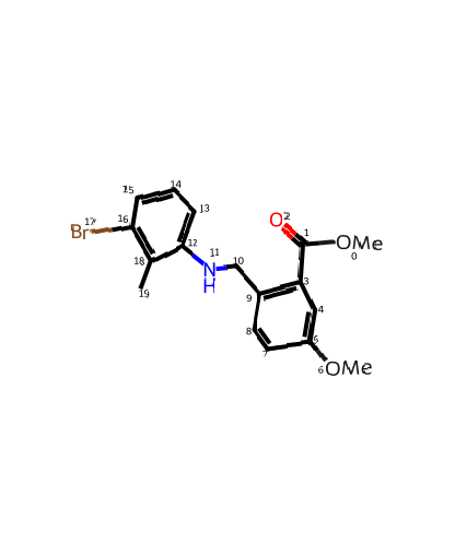 COC(=O)c1cc(OC)ccc1CNc1cccc(Br)c1C